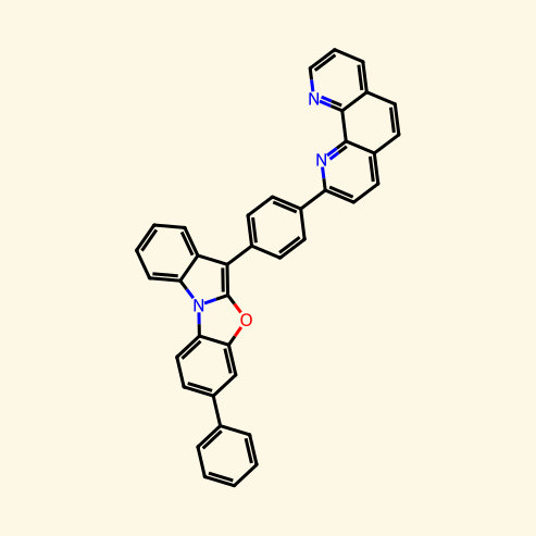 c1ccc(-c2ccc3c(c2)oc2c(-c4ccc(-c5ccc6ccc7cccnc7c6n5)cc4)c4ccccc4n23)cc1